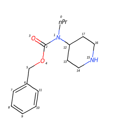 CCCN(C(=O)OCc1ccccc1)C1CCNCC1